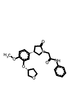 COc1ccc([C@@H]2CC(=O)N(CC(=O)Nc3ccccc3)C2)cc1O[C@@H]1CCOC1